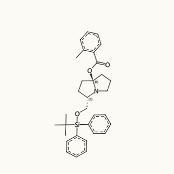 Cc1ccccc1C(=O)O[C@@]12CCCN1[C@H](CO[Si](c1ccccc1)(c1ccccc1)C(C)(C)C)CC2